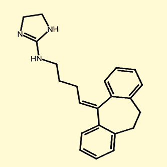 C(CCCNC1=NCCN1)=C1c2ccccc2CCc2ccccc21